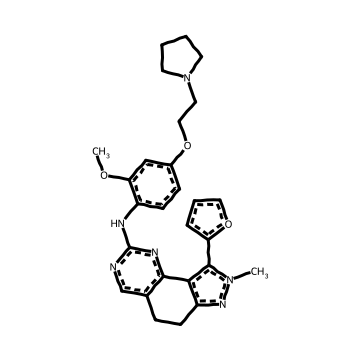 COc1cc(OCCN2CCCC2)ccc1Nc1ncc2c(n1)-c1c(nn(C)c1-c1ccco1)CC2